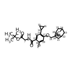 CC(C)(C)OC(=O)CNC(=O)c1cc(C2CC2)c(OCC23CC4CC(CC2C4)C3)cc1F